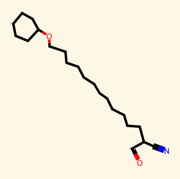 N#CC([C]=O)CCCCCCCCCCCCOC1CC[CH]CC1